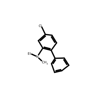 CCN(C)c1cc(Cl)ccc1-c1ccccc1